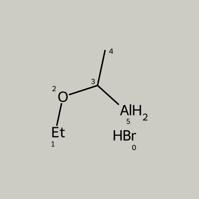 Br.CCO[CH](C)[AlH2]